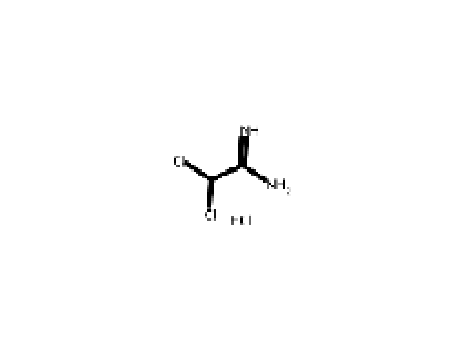 Cl.N=C(N)C(Cl)Cl